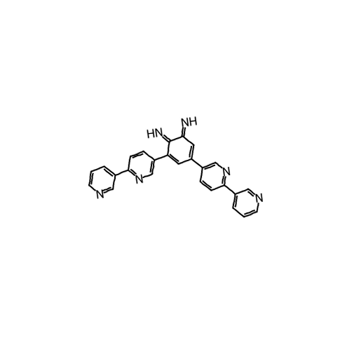 N=C1C=C(c2ccc(-c3cccnc3)nc2)C=C(c2ccc(-c3cccnc3)nc2)C1=N